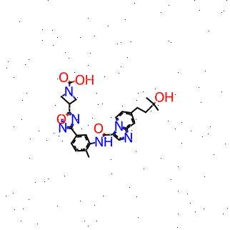 Cc1ccc(-c2noc(C3CN(C(=O)O)C3)n2)cc1NC(=O)c1cnc2cc(CCC(C)(C)O)ccn12